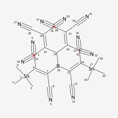 [CH3][Sn]([CH3])([CH3])[C](C#N)=C(C#N)B(C(C#N)=[C](C#N)[Sn]([CH3])([CH3])[CH3])C(C(C#N)=C(C#N)C#N)C(C#N)=C(C#N)C#N